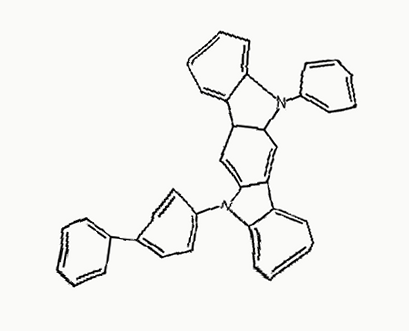 C1=c2c(n(-c3ccc(-c4ccccc4)cc3)c3ccccc23)=CC2c3ccccc3N(c3ccccc3)C12